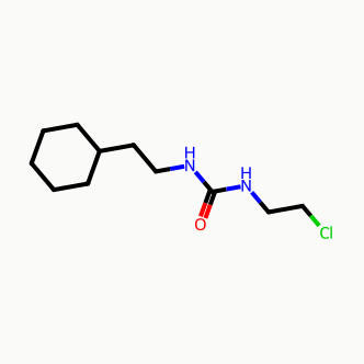 O=C(NCCCl)NCCC1CCCCC1